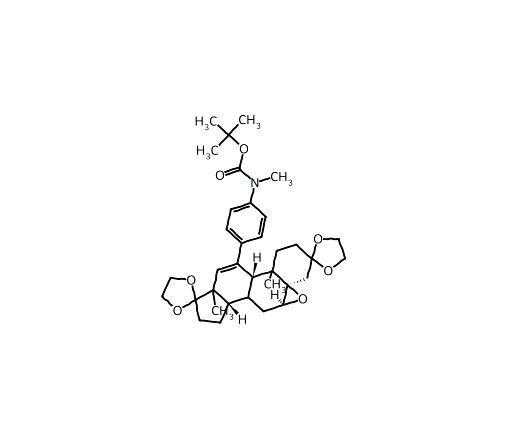 CN(C(=O)OC(C)(C)C)c1ccc(C2=CC3(C)[C@@H](CCC34OCCO4)C3C[C@@H]4O[C@@]45CC4(CCC5(C)[C@@H]23)OCCO4)cc1